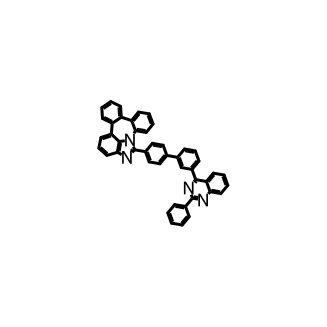 c1ccc(-c2nc(-c3cccc(-c4ccc(-c5nc6cccc7c6n5-c5ccccc5-c5ccccc5-7)cc4)c3)c3ccccc3n2)cc1